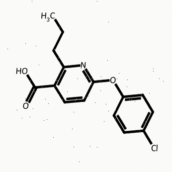 CCCc1nc(Oc2ccc(Cl)cc2)ccc1C(=O)O